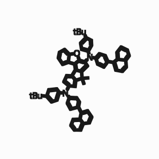 CC(C)(C)c1ccc(N(c2ccc(-c3cccc4ccccc34)cc2)c2ccc3c(c2)C(C)(C)c2cc(N(c4ccc(-c5cccc6ccccc56)cc4)c4ccc(C(C)(C)C)cc4)c4oc5ccccc5c4c2-3)cc1